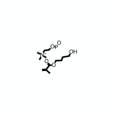 C=C(C)C(=O)OCCCCO.C[N+](C)(C)CCOP=O